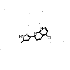 Cc1cc(-c2ccc3c(Cl)ccnc3n2)n[nH]1